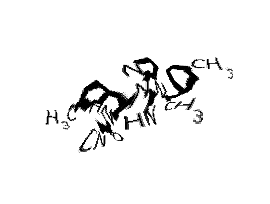 Cc1ccc(CC(CNC(=O)CC#N)n2c(=N)n(C(C)c3ccc(C)cc3)c3cccnc32)cc1